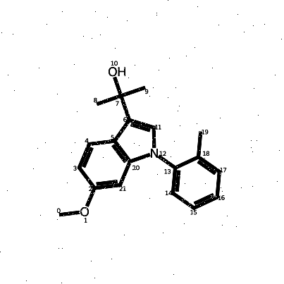 COc1ccc2c(C(C)(C)O)cn(-c3ccccc3C)c2c1